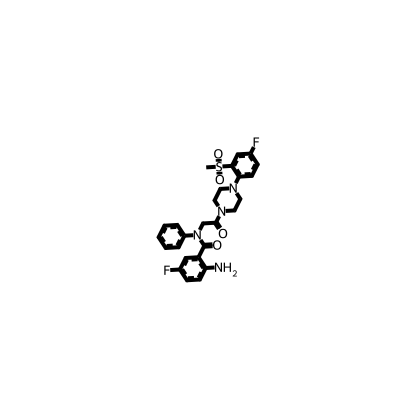 CS(=O)(=O)c1cc(F)ccc1N1CCN(C(=O)CN(C(=O)c2cc(F)ccc2N)c2ccccc2)CC1